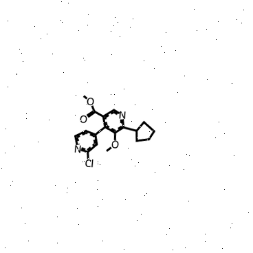 COC(=O)c1cnc(C2CCCC2)c(OC)c1-c1ccnc(Cl)c1